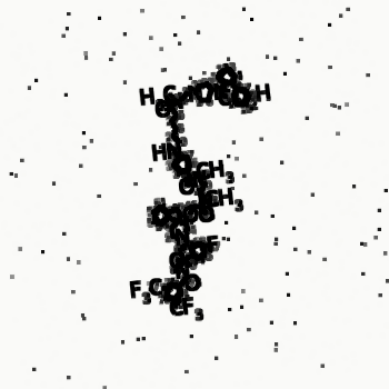 CN(CCN1CCC(N(C(=O)O)c2ccccc2-c2ccccc2)CC1)C(=O)CCCCCNc1ccc(C(=O)N(C)CCN(C)C(=O)CO[C@H]2Cc3ccccc3C23CCN(CC[C@@]2(c4ccc(F)cc4)CN(C(=O)c4cc(C(F)(F)F)cc(C(F)(F)F)c4)CO2)CC3)cc1